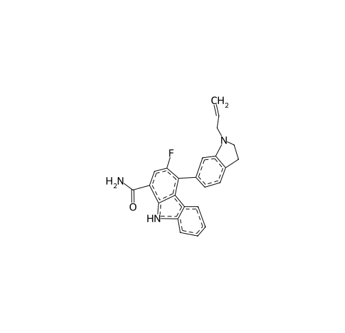 C=CCN1CCc2ccc(-c3c(F)cc(C(N)=O)c4[nH]c5ccccc5c34)cc21